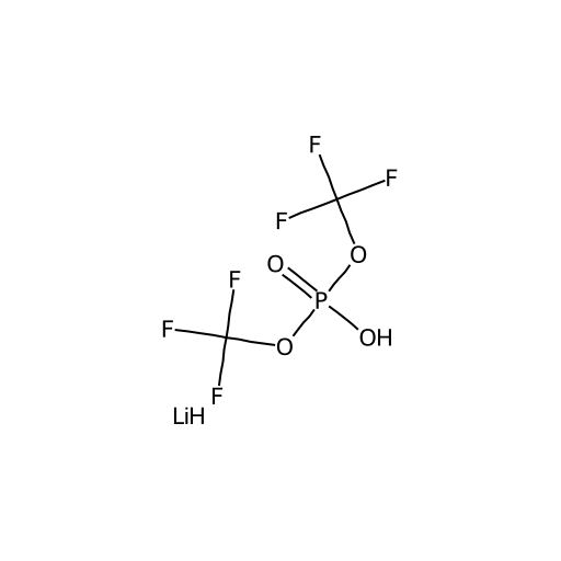 O=P(O)(OC(F)(F)F)OC(F)(F)F.[LiH]